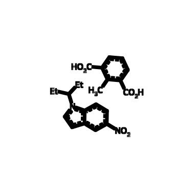 CCC(CC)n1ccc2cc([N+](=O)[O-])ccc21.Cc1c(C(=O)O)cccc1C(=O)O